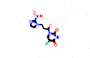 O=C(CCn1ccnc1[N+](=O)[O-])n1cc(F)c(=O)[nH]c1=O